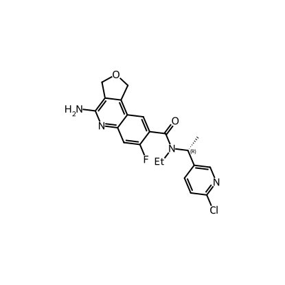 CCN(C(=O)c1cc2c3c(c(N)nc2cc1F)COC3)[C@H](C)c1ccc(Cl)nc1